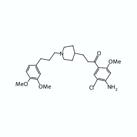 COc1ccc(CCCN2CCC(CCC(=O)c3cc(Cl)c(N)cc3OC)CC2)cc1OC